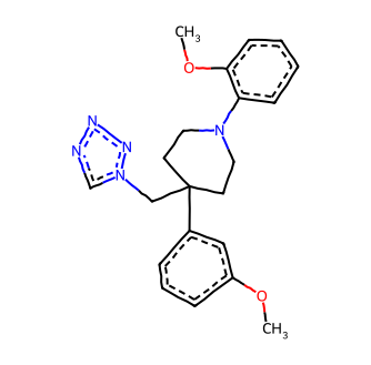 COc1cccc(C2(Cn3cnnn3)CCN(c3ccccc3OC)CC2)c1